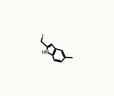 Cc1ccc2[nH]c(CI)cc2c1